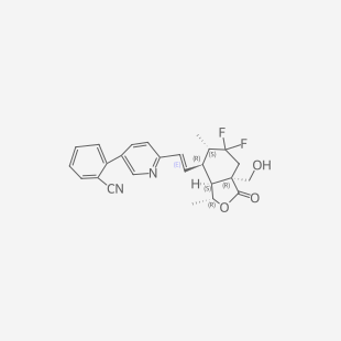 C[C@H]1OC(=O)[C@]2(CO)CC(F)(F)[C@@H](C)[C@H](/C=C/c3ccc(-c4ccccc4C#N)cn3)[C@H]12